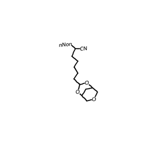 [CH2]CCCCCCCCC(C#N)CCCCC[C]1OC2COCC(C2)O1